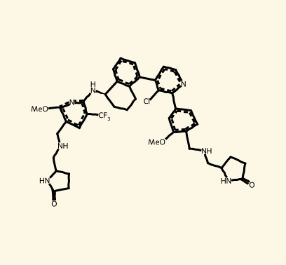 COc1cc(-c2nccc(-c3cccc4c3CCC[C@H]4Nc3nc(OC)c(CNCC4CCC(=O)N4)cc3C(F)(F)F)c2Cl)ccc1CNCC1CCC(=O)N1